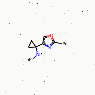 CC(C)NC1(c2coc(C(C)C)n2)CC1